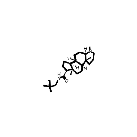 CN1CCC[C@]2(C)[C@H]3CC[C@]4(C)[C@@H](C(=O)NCC(C)(C)C)CC[C@H]4[C@@H]3CC[C@@H]12